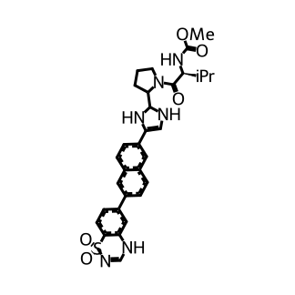 COC(=O)N[C@H](C(=O)N1CCCC1C1NC=C(c2ccc3cc(-c4ccc5c(c4)NC=NS5(=O)=O)ccc3c2)N1)C(C)C